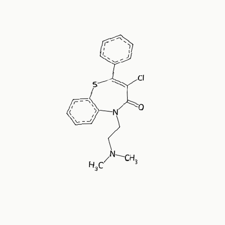 CN(C)CCN1C(=O)C(Cl)=C(c2ccccc2)Sc2ccccc21